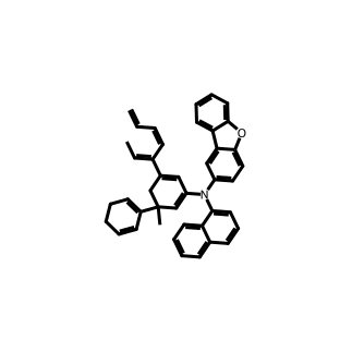 C=C/C=C\C(=C/C)C1=CC(N(c2ccc3oc4ccccc4c3c2)c2cccc3ccccc23)=CC(C)(C2=CCCC=C2)C1